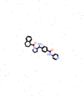 NC(c1ccc(C(=O)Nc2ccncc2)cc1)C1CCCN1C(=O)C1CCCc2ccccc21